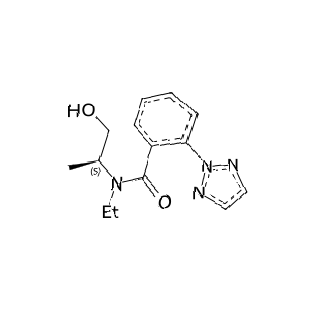 CCN(C(=O)c1ccccc1-n1nccn1)[C@@H](C)CO